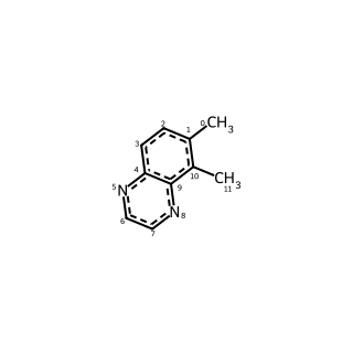 Cc1ccc2nccnc2c1C